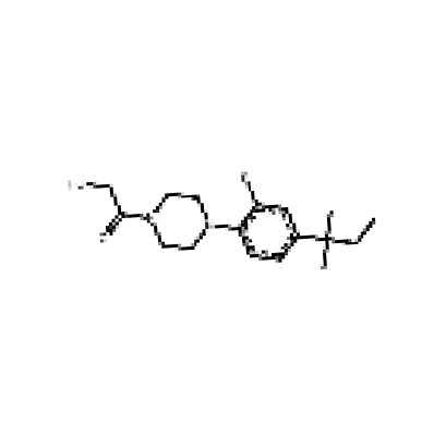 CCC(C)(C)c1ccc(N2CCN(C(=O)CO)CC2)c(F)c1